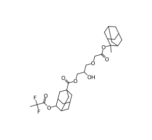 CC(F)(F)C(=O)OC1C2CC3CC1CC(C(=O)OCC(O)COCC(=O)OC1(C)C4CC5CC(C4)CC1C5)(C3)C2